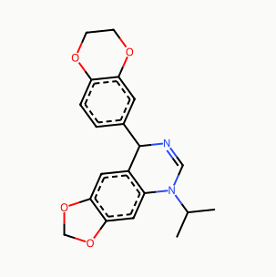 CC(C)N1C=NC(c2ccc3c(c2)OCCO3)c2cc3c(cc21)OCO3